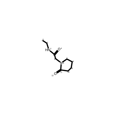 [CH2]CNC(=O)CN1CCCCC1=O